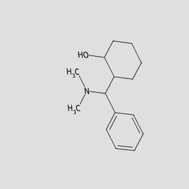 CN(C)C(c1ccccc1)C1CCCCC1O